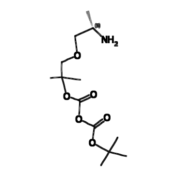 C[C@H](N)COCC(C)(C)OC(=O)OC(=O)OC(C)(C)C